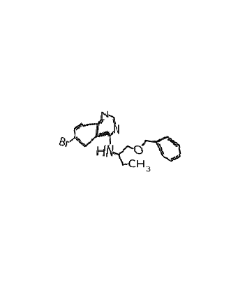 CCC(COCc1ccccc1)Nc1ncnc2ccc(Br)cc12